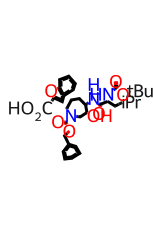 CC(C)CC(NC(=O)OC(C)(C)C)C(=O)NC1CCCN(C(=O)OCc2ccccc2)CC1O.O=C(O)c1cc2ccccc2o1